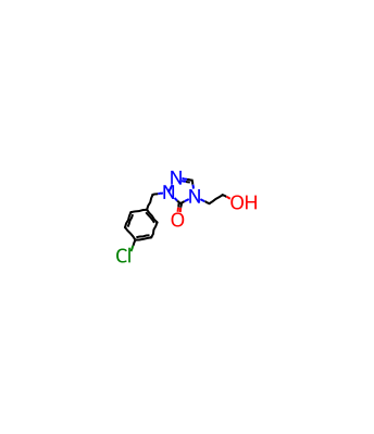 O=c1n(CCO)cnn1Cc1ccc(Cl)cc1